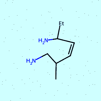 CCC(N)/C=C\C(C)CN